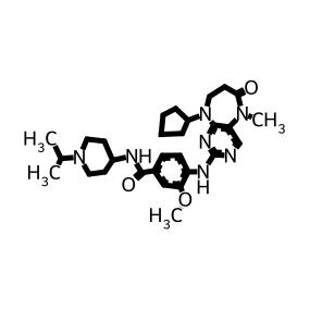 COc1cc(C(=O)NC2CCN(C(C)C)CC2)ccc1Nc1ncc2c(n1)N(C1CCCC1)CCC(=O)N2C